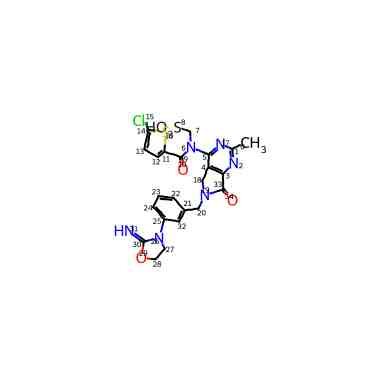 Cc1nc2c(c(N(CS(=O)(=O)O)C(=O)c3ccc(Cl)s3)n1)CN(Cc1cccc(N3CCOC3=N)c1)C2=O